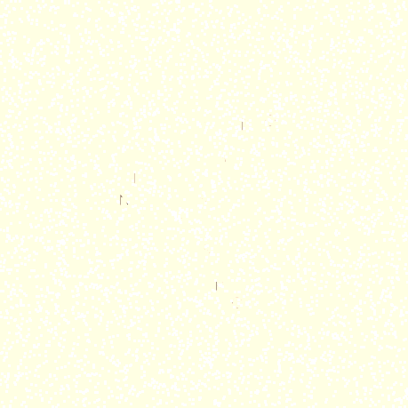 O=P(c1ccccc1)(c1ccccc1)c1ccc(-c2sc(-c3ccc(P(=O)(c4ccccc4)c4ccccc4)s3)c3cnncc23)s1